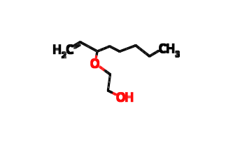 C=CC(CCCCC)OCCO